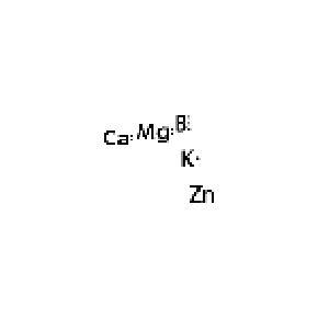 [B].[Ca].[K].[Mg].[Zn]